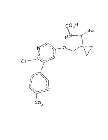 CC(C)(C)C(NC(=O)O)C1(COc2cnc(Cl)c(-c3ccc([N+](=O)[O-])cc3)c2)CC1